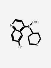 O=CN(c1ccnc2ccc(Br)cc12)C1CCOCC1